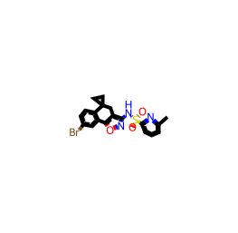 Cc1cccc(S(=O)(=O)Nc2noc3c2CC2(CC2)c2ccc(Br)cc2-3)n1